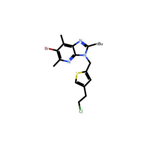 CCCCc1nc2c(C)c(Br)c(C)nc2n1Cc1cc(CCCl)cs1